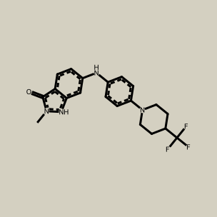 Cn1[nH]c2cc(Nc3ccc(N4CCC(C(F)(F)F)CC4)cc3)ccc2c1=O